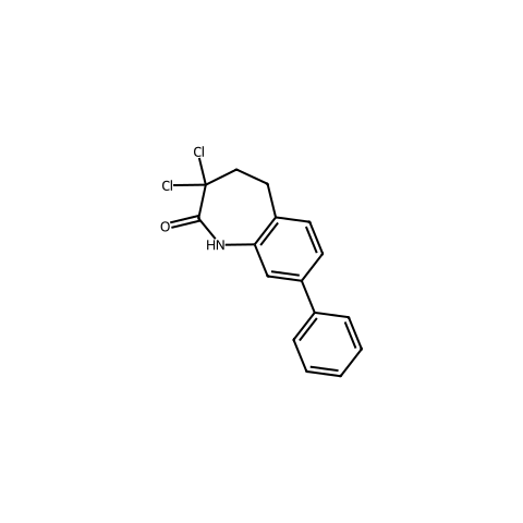 O=C1Nc2cc(-c3ccccc3)ccc2CCC1(Cl)Cl